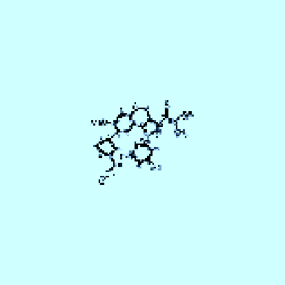 COc1cc2c(cc1-c1cccc(N=C=O)c1)-c1c(c(C(=O)N(C)C(C)(C)C)nn1-c1cc(Cl)cc(Cl)c1)CO2